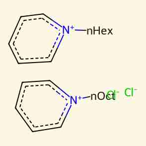 CCCCCCCC[n+]1ccccc1.CCCCCC[n+]1ccccc1.[Cl-].[Cl-]